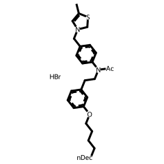 Br.CCCCCCCCCCCCCCOc1cccc(CCN(C(C)=O)c2ccc(CN3C=C(C)SC3)cc2)c1